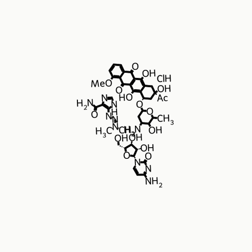 CN(C)/N=N/c1[nH]cnc1C(N)=O.COc1cccc2c1C(=O)c1c(O)c3c(c(O)c1C2=O)C[C@@](O)(C(C)=O)C[C@@H]3OC1CC(N)C(O)C(C)O1.Cl.Nc1ccn([C@@H]2O[C@H](CO)[C@@H](O)[C@@H]2O)c(=O)n1